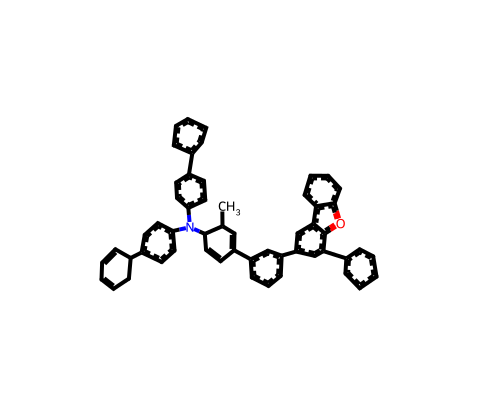 CC1C=C(c2cccc(-c3cc(-c4ccccc4)c4oc5ccccc5c4c3)c2)C=CC1N(c1ccc(-c2ccccc2)cc1)c1ccc(C2C=CC=CC2)cc1